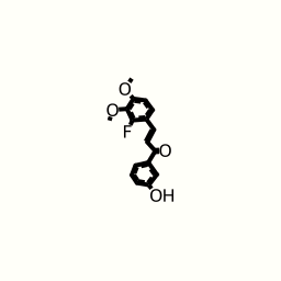 COc1ccc(/C=C/C(=O)c2cccc(O)c2)c(F)c1OC